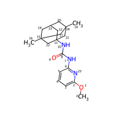 COc1cccc(NC(=O)NC23CC4CC(C)(CC(C)(C4)C2)C3)n1